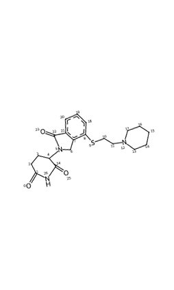 O=C1CCC(N2Cc3c(SCCN4CCCCC4)cccc3C2=O)C(=O)N1